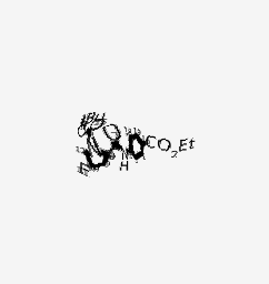 CCOC(=O)c1ccc(NC(=O)[C@H]2C[C@H](F)CN2C(=O)OC(C)(C)C)cc1